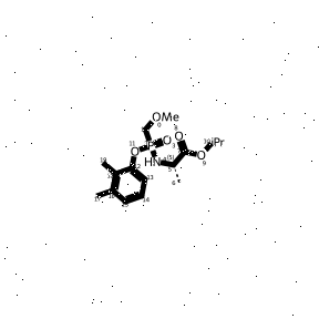 COCP(=O)(N[C@@H](C)C(=O)OC(C)C)Oc1cccc(C)c1C